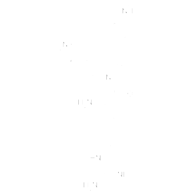 N=C(N)NCCC[C@H](N)C(=O)N(CCCN)CCCCN